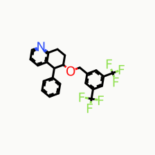 FC(F)(F)c1cc(COC2CCc3ncccc3C2c2ccccc2)cc(C(F)(F)F)c1